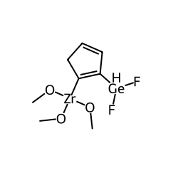 C[O][Zr]([O]C)([O]C)[C]1=[C]([GeH]([F])[F])C=CC1